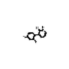 O=c1[nH]cccc1-c1ccc(F)cc1F